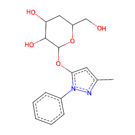 Cc1cc(OC2OC(CO)CC(O)C2O)n(-c2ccccc2)n1